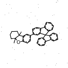 CC12CCCCC1(C)c1cc(-c3ccc4c(c3)C3(c5ccccc5-c5ccccc53)c3ccccc3-4)ccc1O2